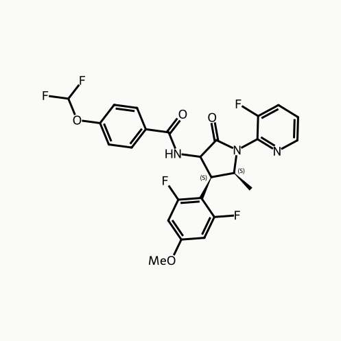 COc1cc(F)c([C@H]2C(NC(=O)c3ccc(OC(F)F)cc3)C(=O)N(c3ncccc3F)[C@H]2C)c(F)c1